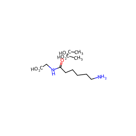 CC(=O)O.CC(=O)O.NCCCCCC(=O)NCC(=O)O